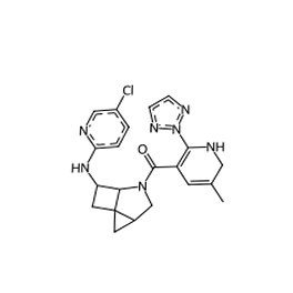 CC1=CC(C(=O)N2CC3CC34CC(Nc3ccc(Cl)cn3)C24)=C(n2nccn2)NC1